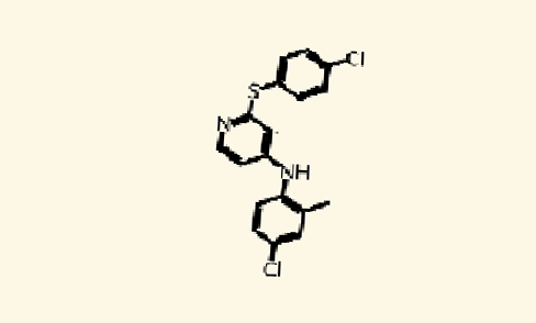 Cc1cc(Cl)ccc1Nc1[c]c(Sc2ccc(Cl)cc2)ncc1